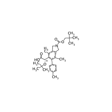 Cc1ccc(-c2c(C)c3c(c(C)c2[C@H](OC(C)(C)C)C(=O)O)CN(C(=O)OCC(C)(C)C)C3)cc1